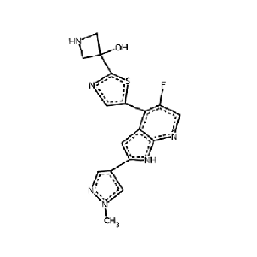 Cn1cc(-c2cc3c(-c4cnc(C5(O)CNC5)s4)c(F)cnc3[nH]2)cn1